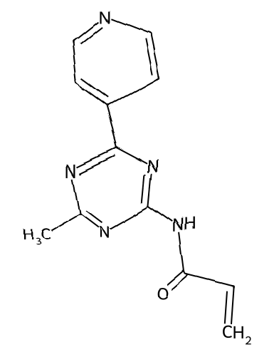 C=CC(=O)Nc1nc(C)nc(-c2ccncc2)n1